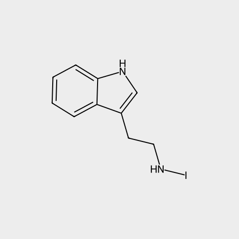 INCCc1c[nH]c2ccccc12